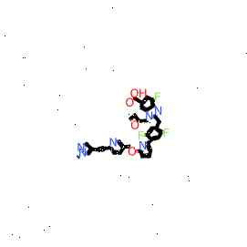 Cn1cc(C#Cc2ccc(COc3cccc(-c4cc(F)c(Cc5nc6c(F)cc(C(=O)O)cc6n5CC5CCO5)cc4F)n3)cn2)cn1